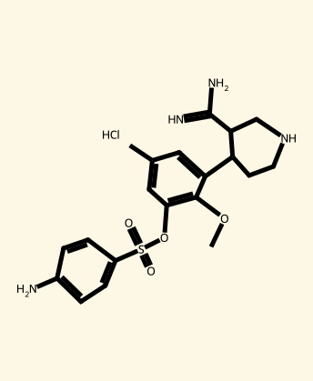 COc1c(OS(=O)(=O)c2ccc(N)cc2)cc(C)cc1C1CCNCC1C(=N)N.Cl